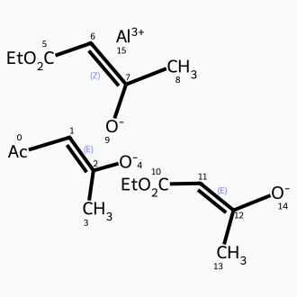 CC(=O)/C=C(\C)[O-].CCOC(=O)/C=C(/C)[O-].CCOC(=O)/C=C(\C)[O-].[Al+3]